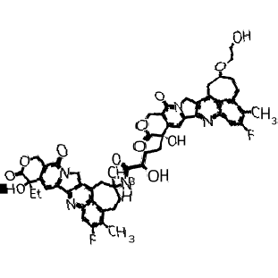 CC[C@@]1(O)C(=O)OCc2c1cc1n(c2=O)Cc2c-1nc1cc(F)c(C)c3c1c2CC(C)(NC(=O)C(O)CC[C@@]1(O)C(=O)OCc2c1cc1n(c2=O)Cc2c-1nc1cc(F)c(C)c4c1c2CC(OCCO)CC4)CC3